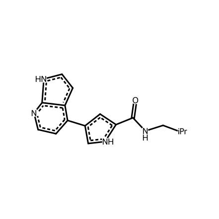 CC(C)CNC(=O)c1cc(-c2ccnc3[nH]ccc23)c[nH]1